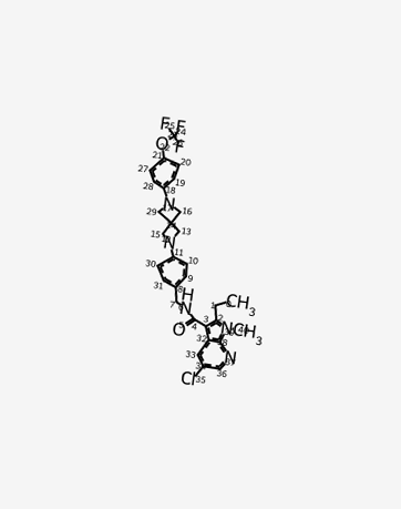 CCc1c(C(=O)NCc2ccc(N3CC4(C3)CN(c3ccc(OC(F)(F)F)cc3)C4)cc2)c2cc(Cl)cnc2n1C